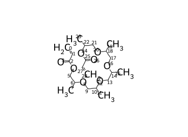 C=CC(=O)OCC(C)OCC(C)OCC(C)OCC(C)OCC(C)OC(=O)C=C